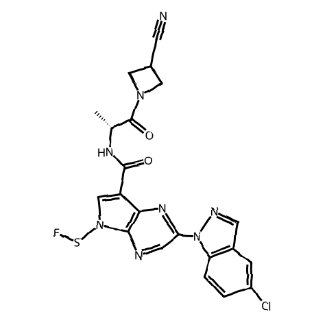 C[C@@H](NC(=O)c1cn(SF)c2ncc(-n3ncc4cc(Cl)ccc43)nc12)C(=O)N1CC(C#N)C1